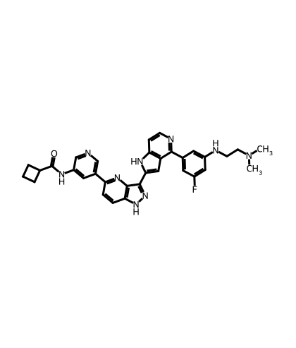 CN(C)CCNc1cc(F)cc(-c2nccc3[nH]c(-c4n[nH]c5ccc(-c6cncc(NC(=O)C7CCC7)c6)nc45)cc23)c1